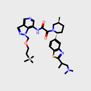 CC(CN(C)C)c1nc2cc([C@H]3CC[C@H](C)CN3C(=O)C(=O)Nc3cncc4cnn(COCC[Si](C)(C)C)c34)ccc2s1